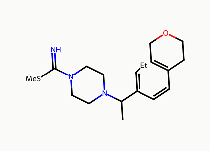 CC/C=C(\C=C/C1=CCOCC1)C(C)N1CCN(C(=N)SC)CC1